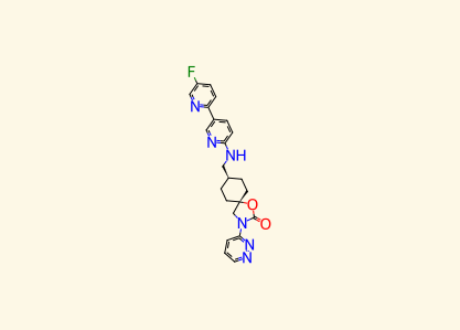 O=C1O[C@]2(CC[C@H](CNc3ccc(-c4ccc(F)cn4)cn3)CC2)CN1c1cccnn1